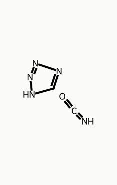 N=C=O.c1nnn[nH]1